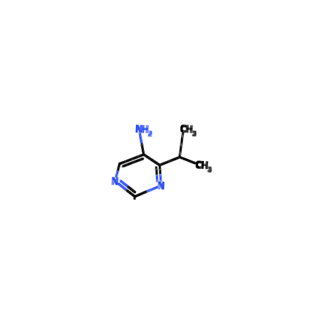 CC(C)c1n[c]ncc1N